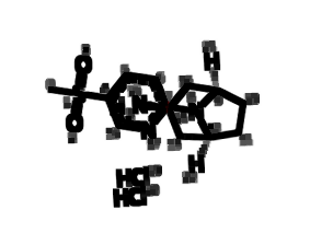 CS(=O)(=O)c1ccc(N2[C@@H]3CC[C@H]2C[C@@H](N)C3)nc1.Cl.Cl